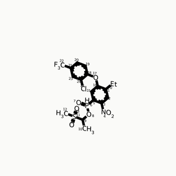 CCc1cc([N+](=O)[O-])c([PH](=O)OC(C)S(C)(=O)=O)cc1Oc1ccc(C(F)(F)F)cc1Cl